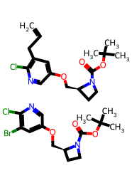 C=CCc1cc(OC[C@@H]2CCN2C(=O)OC(C)(C)C)cnc1Cl.CC(C)(C)OC(=O)N1CC[C@H]1COc1cnc(Cl)c(Br)c1